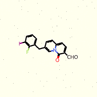 O=Cc1ccc2ccc(Cc3cccc(I)c3F)cn2c1=O